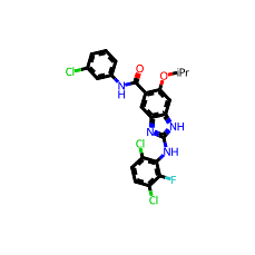 CC(C)Oc1cc2[nH]c(Nc3c(Cl)ccc(Cl)c3F)nc2cc1C(=O)Nc1cccc(Cl)c1